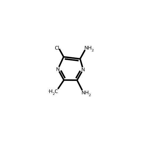 [CH2]c1nc(Cl)c(N)nc1N